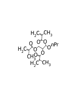 C=C(C)C(=O)OCC(OC(=O)C(=C)C)C(OCCC)OC(=O)C(=C)C